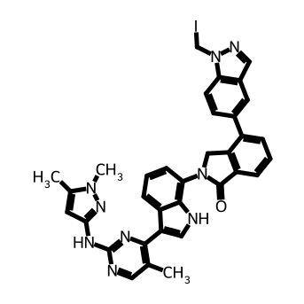 Cc1cnc(Nc2cc(C)n(C)n2)nc1-c1c[nH]c2c(N3Cc4c(cccc4-c4ccc5c(cnn5CI)c4)C3=O)cccc12